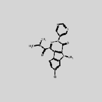 CN(C)C(=O)c1nn(-c2cncnc2)c(=O)c2c1c1ccc(Cl)cc1n2C